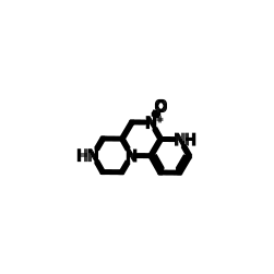 O=[N+]1CC2CNCCN2C2=CC=CNC21